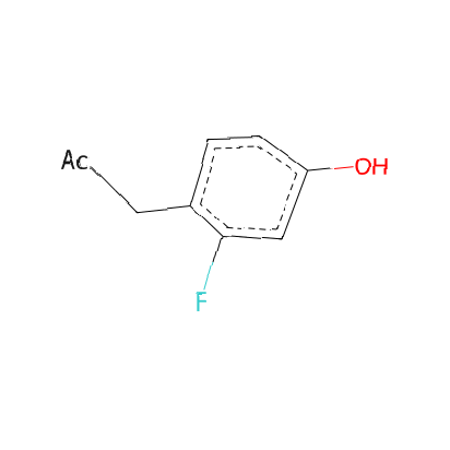 CC(=O)Cc1ccc(O)cc1F